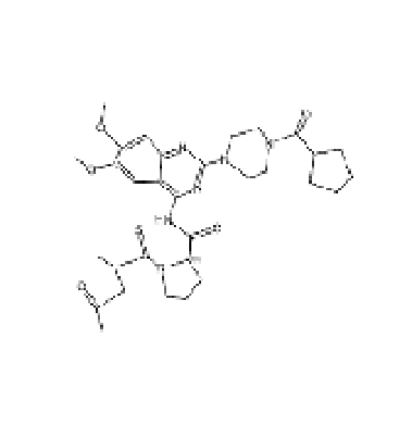 COc1cc2nc(N3CCN(C(=O)C4CCCC4)CC3)nc(NC(=O)[C@H]3CCCN3C(=S)C(C)CC(C)=O)c2cc1OC